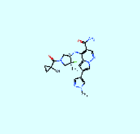 Cn1cc(-c2cc3c(N[C@@H]4CN(C(=O)C5(C#N)CC5)C[C@]4(C)F)c(C(N)=O)cnn3c2)cn1